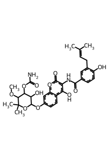 COC1C(OC(N)=O)C(O)C(Oc2ccc3c(O)c(NC(=O)c4ccc(O)c(CC=C(C)C)c4)c(=O)oc3c2)OC1(C)C